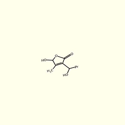 CC1=C(C(O)C(C)C)C(=O)OC1O